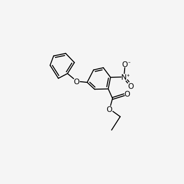 CCOC(=O)c1cc(Oc2ccccc2)ccc1[N+](=O)[O-]